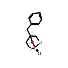 O=P12OCC(Cc3ccccc3)(CO1)CO2